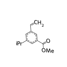 C=Cc1cc(C(=O)OC)cc(C(C)C)c1